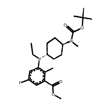 CCN(c1cc(F)cc(C(=O)OC)c1C)[C@H]1CC[C@H](N(C)C(=O)OC(C)(C)C)CC1